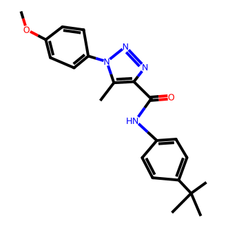 COc1ccc(-n2nnc(C(=O)Nc3ccc(C(C)(C)C)cc3)c2C)cc1